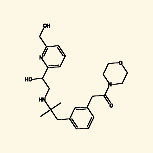 CC(C)(Cc1cccc(CC(=O)N2CCOCC2)c1)NCC(O)c1cccc(CO)n1